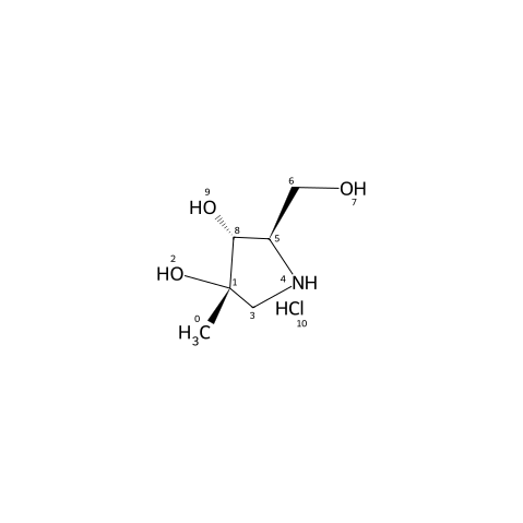 C[C@]1(O)CN[C@H](CO)[C@H]1O.Cl